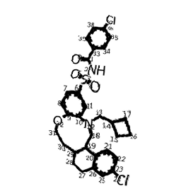 O=C(NS(=O)(=O)c1ccc2c(c1)N(CC1CCC1)CC1c3ccc(Cl)cc3CCC1CCO2)c1ccc(Cl)cc1